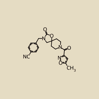 Cc1cc(C(=O)N2CCC3(CC2)CN(Cc2ccc(C#N)cc2)C(=O)O3)no1